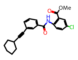 COC(=O)c1cc(Cl)ccc1NC(=O)c1cccc(C#CC2CCCCC2)c1